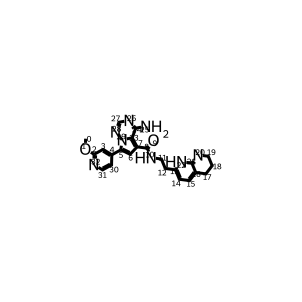 COc1cc(-c2cc(C(=O)NCCC3=CC=C4CCCN=C4N3)c3c(N)ncnn23)ccn1